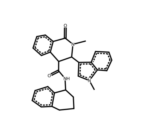 CN1C(=O)c2ccccc2C(C(=O)NC2CCCc3ccccc32)C1c1cn(C)c2ccccc12